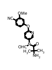 COc1cc(Oc2ccc(N(C=O)C(=O)C(C)(C)N)cn2)ccc1C#N